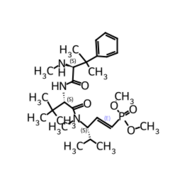 CN[C@H](C(=O)N[C@H](C(=O)N(C)[C@H](/C=C/P(=O)(OC)OC)C(C)C)C(C)(C)C)C(C)(C)c1ccccc1